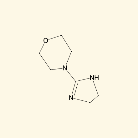 C1CNC(N2CCOCC2)=N1